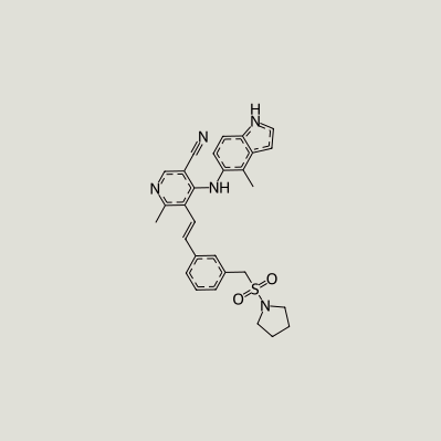 Cc1ncc(C#N)c(Nc2ccc3[nH]ccc3c2C)c1C=Cc1cccc(CS(=O)(=O)N2CCCC2)c1